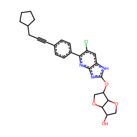 OC1COC2C(Oc3nc4nc(-c5ccc(C#CCC6CCCC6)cc5)c(Cl)cc4[nH]3)COC12